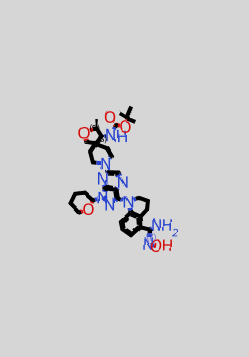 C[C@@H]1OCC2(CCN(c3cnc4c(N5CCCc6c(/C(N)=N/O)cccc65)nn(C5CCCCO5)c4n3)CC2)[C@@H]1NC(=O)OC(C)(C)C